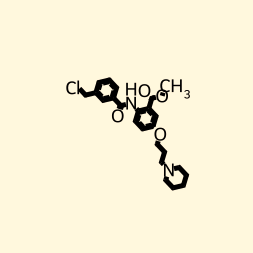 COC(=O)c1cc(OCCCN2CCCCC2)ccc1NC(=O)c1cccc(CCl)c1